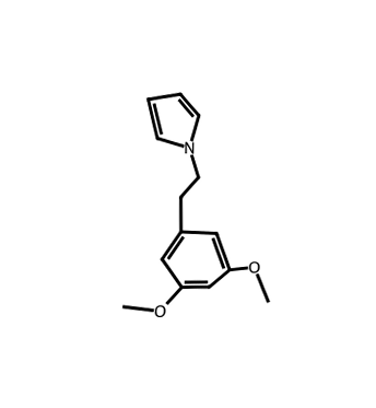 COc1cc(CCn2cccc2)cc(OC)c1